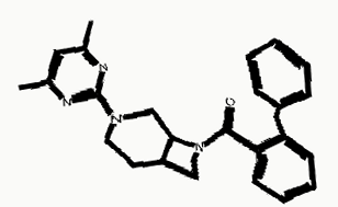 Cc1cc(C)nc(N2CCC3CN(C(=O)c4ccccc4-c4ccccc4)C3C2)n1